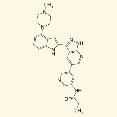 CCC(=O)Nc1cncc(-c2cnc3[nH]nc(-c4cc5c(N6CCN(C)CC6)cccc5[nH]4)c3c2)c1